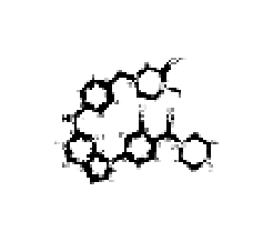 CN1CCN(Cc2ccc(Nc3ncc4ccn(-c5ccc(C(=O)N6CCOCC6)c(F)c5)c4n3)cc2)CC1=O